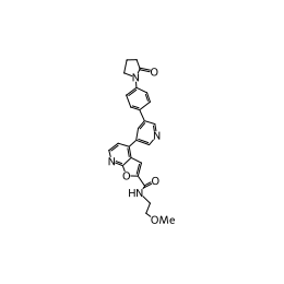 COCCNC(=O)c1cc2c(-c3cncc(-c4ccc(N5CCCC5=O)cc4)c3)ccnc2o1